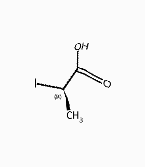 C[C@@H](I)C(=O)O